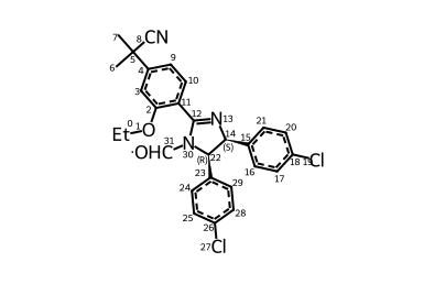 CCOc1cc(C(C)(C)C#N)ccc1C1=N[C@@H](c2ccc(Cl)cc2)[C@@H](c2ccc(Cl)cc2)N1[C]=O